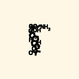 CC1=C(C)[C@]2(CC[C@H]3C4CC=C5CC(OP(=O)(O)OCCN)CC[C@]5(C)[C@H]4CC[C@@]32C)OC1=O